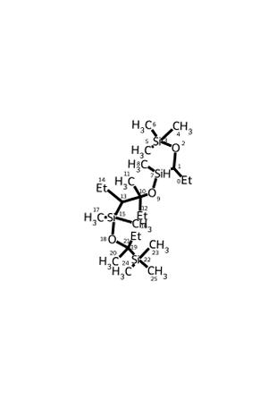 CCC(O[Si](C)(C)C)[SiH](C)OC(C)(CC)C(CC)[Si](C)(C)OC(C)(CC)[Si](C)(C)C